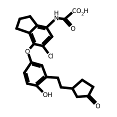 O=C1CCC(CCc2cc(Oc3c(Cl)cc(NC(=O)C(=O)O)c4c3CCC4)ccc2O)C1